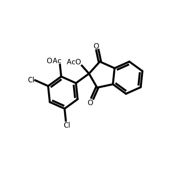 CC(=O)Oc1c(Cl)cc(Cl)cc1C1(OC(C)=O)C(=O)c2ccccc2C1=O